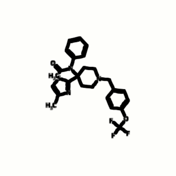 CC(=O)N(c1ccccc1)C1(c2nc(C)cs2)CCN(Cc2ccc(OC(F)(F)F)cc2)CC1